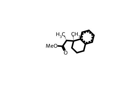 COC(=O)[C@H](C)[C@]1(C)CCCc2ccccc21